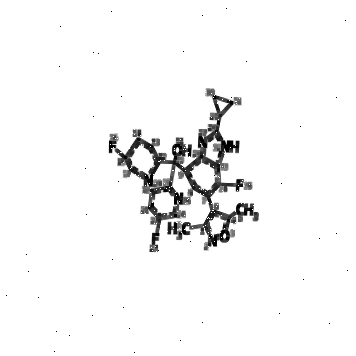 Cc1noc(C)c1-c1cc(C(O)(c2ccc(F)cn2)c2ccc(F)cn2)c2nc(C3CC3)[nH]c2c1F